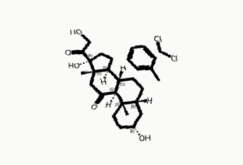 C[C@]12CC[C@@H](O)C[C@H]1CC[C@@H]1[C@@H]2C(=O)C[C@@]2(C)[C@H]1CC[C@]2(O)C(=O)CO.Cc1ccccc1.ClCCl